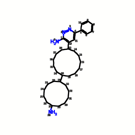 Nc1nnc(-c2ccccc2)cc1C1CCCCCCC(C2CCCCCC(N)CCCCC2)CCCCC1